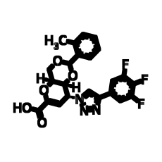 Cc1ccccc1C1OC[C@H]2OC(C(=O)O)=C[C@@H](n3cc(-c4cc(F)c(F)c(F)c4)nn3)[C@H]2O1